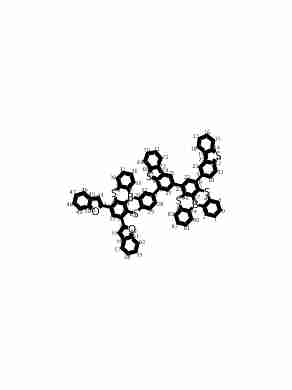 c1ccc2c(c1)Sc1c(-c3ccc4sc5ccccc5c4c3)cc(-c3cc(-c4ccc5c(c4)B4c6ccccc6Sc6c(-c7cc8ccccc8o7)cc(-c7cc8ccccc8o7)c(c64)S5)c4sc5ccccc5c4c3)c3c1B2c1ccccc1S3